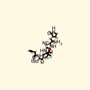 C#CCC(=O)N[C@H](C(=O)N1CC2(C)C(C)(C)[C@]2(N[C@H](C)C(=O)N[C@H](C#N)C([SiH3])C[C@@H]2CCNC2=O)C1)C(C)(C)C